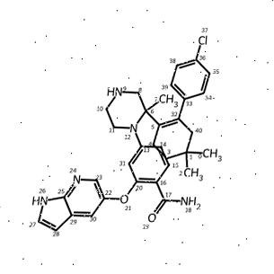 CC1(C)CCC(C2(C)CNCCN2c2ccc(C(N)=O)c(Oc3cnc4[nH]ccc4c3)c2)=C(c2ccc(Cl)cc2)C1